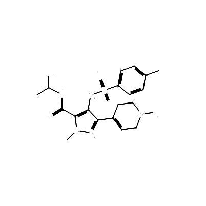 Cc1ccc(S(=O)(=O)Nc2c(C3=CCN(C(=O)O)CC3)nn(C)c2C(=O)NC(C)C(C)(C)C)cc1